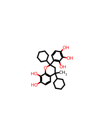 CC1(C2CCCCC2)CC(c2ccc(O)c(O)c2O)(C2CCCCC2)Oc2c1ccc(O)c2O